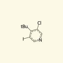 CC(C)(C)c1c(Cl)cncc1I